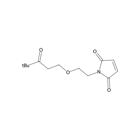 CC(C)(C)C(=O)CCOCCN1C(=O)C=CC1=O